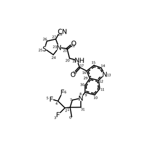 CC1(C(F)C(F)F)CN(c2ccc3nccc(C(=O)NCC(=O)N4CSCC4C#N)c3c2)C1